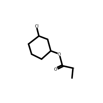 C[CH]C(=O)OC1CCCC(Cl)C1